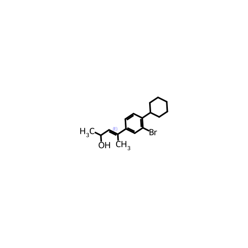 C/C(=C\C(C)O)c1ccc(C2CCCCC2)c(Br)c1